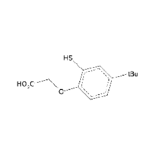 CC(C)(C)c1ccc(OCC(=O)O)c(S)c1